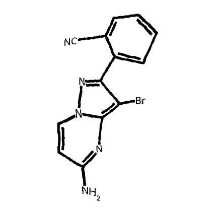 N#Cc1ccccc1-c1nn2ccc(N)nc2c1Br